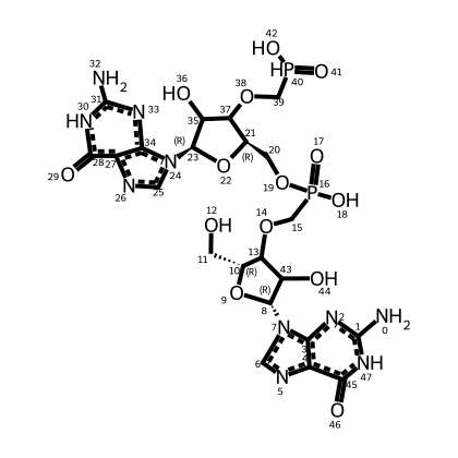 Nc1nc2c(ncn2[C@@H]2O[C@H](CO)C(OCP(=O)(O)OC[C@H]3O[C@@H](n4cnc5c(=O)[nH]c(N)nc54)C(O)C3OC[PH](=O)O)C2O)c(=O)[nH]1